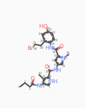 CCCC(=O)Nc1c[nH]c(C(=O)Nc2cc(C(=O)Nc3ccc(O)cc3CCBr)n(C)c2)c1C